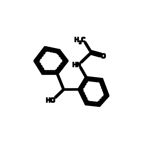 CC(=O)Nc1ccccc1C(O)c1ccccc1